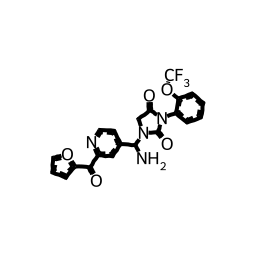 NC(c1ccnc(C(=O)c2ccco2)c1)N1CC(=O)N(c2ccccc2OC(F)(F)F)C1=O